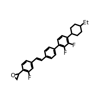 CCC1CCC(c2ccc(-c3ccc(/C=C/c4ccc(C5CO5)c(F)c4)cc3)c(F)c2F)CC1